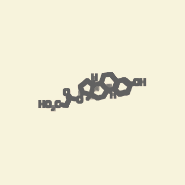 C[C@]12CC[C@@H]3c4ccc(O)cc4CCC3[C@@H]1CC[C@H]2OC(=O)CC(=O)O